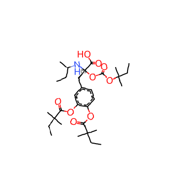 CCC(C)N[C@@](Cc1ccc(OC(=O)C(C)(C)CC)c(OC(=O)C(C)(C)CC)c1)(OC(=O)OC(C)(C)CC)C(=O)O